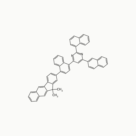 CC1(C)c2cc(-c3ccc(-c4cc(-c5ccc6ccccc6c5)nc(-c5cccc6ccccc56)n4)c4ccccc34)ccc2-c2cc3ccccc3cc21